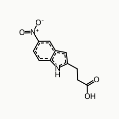 O=C(O)CCc1cc2cc([N+](=O)[O-])ccc2[nH]1